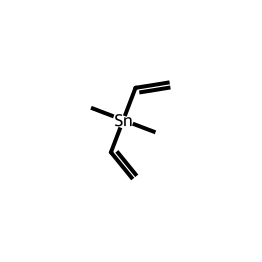 C=[CH][Sn]([CH3])([CH3])[CH]=C